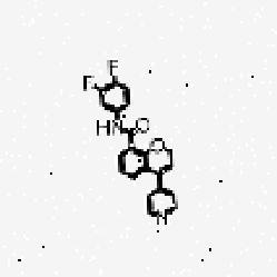 O=C(Nc1ccc(F)c(F)c1)c1cccc2c1OCC=C2c1ccncc1